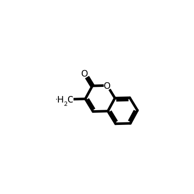 [CH2]c1cc2ccccc2oc1=O